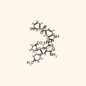 CN1CCN(c2cc(C(N)=O)c(C(=O)Nc3n[nH]c4ccc(S(=O)(=O)c5cccc(F)c5)cc34)cc2N2CCC[C@H]2C(=O)O)CC1